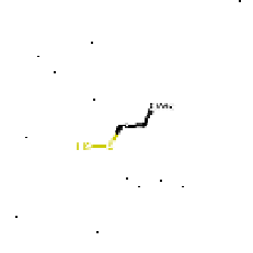 COCCSS